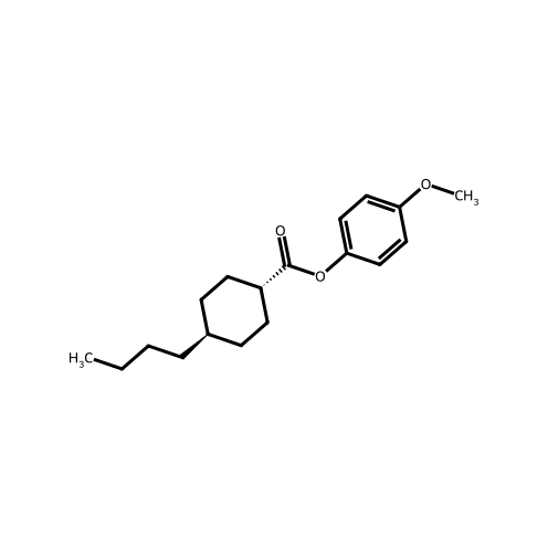 CCCC[C@H]1CC[C@H](C(=O)Oc2ccc(OC)cc2)CC1